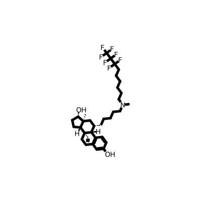 C=C[C@@]12CCc3cc(O)ccc3[C@H]1[C@@H](CCCCCN(C)CCCCCCC(F)(F)C(F)(F)C(F)(F)F)C[C@@]1(C)[C@H]2CC[C@@H]1O